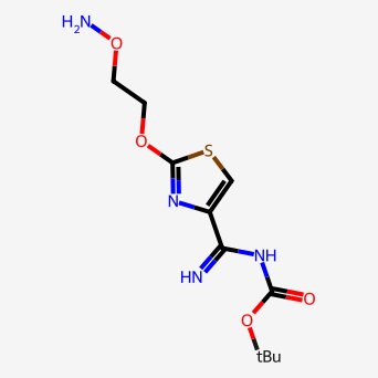 CC(C)(C)OC(=O)NC(=N)c1csc(OCCON)n1